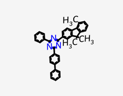 Cc1cccc2c1-c1ccc(-c3nc(-c4ccccc4)nc(-c4ccc(-c5ccccc5)cc4)n3)cc1C2(C)C